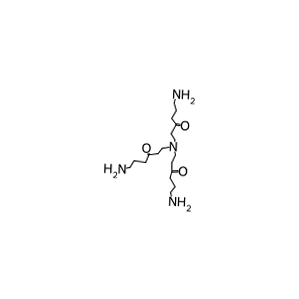 NCCCC(=O)CCN(CCC(=O)CCCN)CCC(=O)CCCN